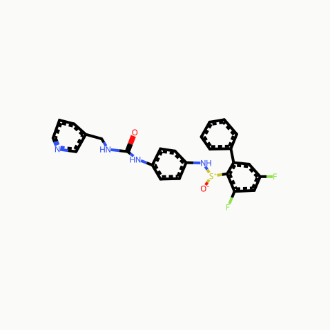 O=C(NCc1cccnc1)Nc1ccc(N[S+]([O-])c2c(F)cc(F)cc2-c2ccccc2)cc1